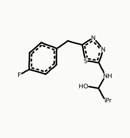 CC(C)C(O)Nc1nnc(Cc2ccc(F)cc2)s1